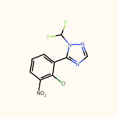 O=[N+]([O-])c1cccc(-c2ncnn2C(F)F)c1Cl